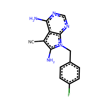 N#Cc1c(N)n(Cc2ccc(F)cc2)c2ncnc(N)c12